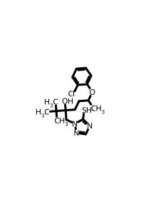 CC(CCC(O)(Cn1ncnc1S)C(C)(C)C)Oc1ccccc1Cl